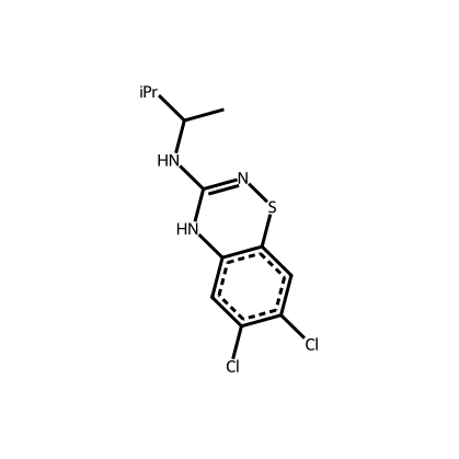 CC(C)C(C)NC1=NSc2cc(Cl)c(Cl)cc2N1